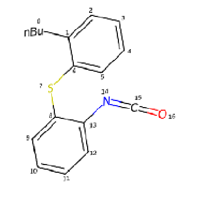 CCCCc1ccccc1Sc1ccccc1N=C=O